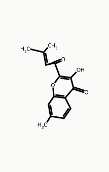 CC(C)=CC(=O)c1oc2cc(C)ccc2c(=O)c1O